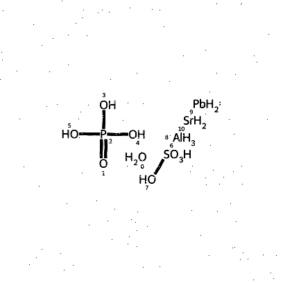 O.O=P(O)(O)O.O=S(=O)(O)O.[AlH3].[PbH2].[SrH2]